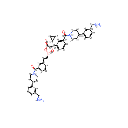 NCc1cccc(C2CCN(C(=O)c3cccc(C=CB4OC(=O)[C@](c5cccc(C(=O)N6CCC(c7cccc(CN)c7)CC6)c5)(C5CC5)O4)c3)CC2)c1